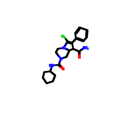 NC(=O)C1C(c2ccccc2)=C(Cl)N2CCN(C(=O)NC3CCCCC3)CC12